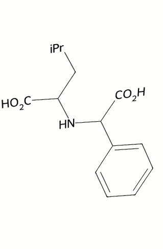 CC(C)CC(NC(C(=O)O)c1ccccc1)C(=O)O